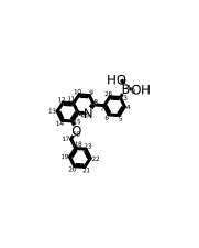 OB(O)c1cccc(-c2ccc3cccc(OCc4ccccc4)c3n2)c1